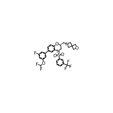 O=S(=O)(c1cccc(C(F)(F)F)c1)N1C[C@H](CN2CC3(COC3)C2)Oc2ccc(-c3cc(F)cc(OC(F)F)c3)cc21